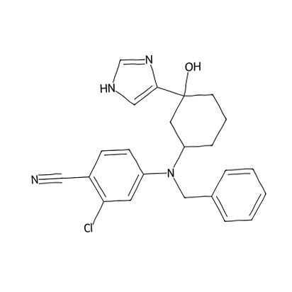 N#Cc1ccc(N(Cc2ccccc2)C2CCCC(O)(c3c[nH]cn3)C2)cc1Cl